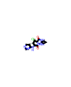 O=C1NC2(CCC2)Nn2c1c(Cl)cc(Nc1ccncn1)c2=O